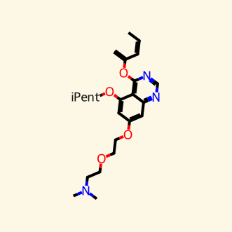 C=C(/C=C\C)Oc1ncnc2cc(OCCOCCN(C)C)cc(OC(C)CCC)c12